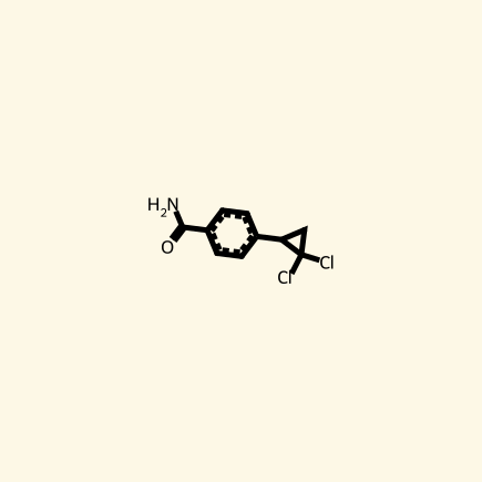 NC(=O)c1ccc(C2CC2(Cl)Cl)cc1